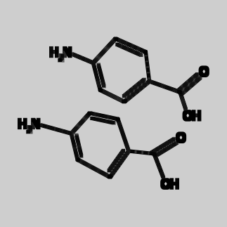 Nc1ccc(C(=O)O)cc1.Nc1ccc(C(=O)O)cc1